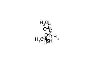 C=CC(=O)OC(C)O[SiH](C)C